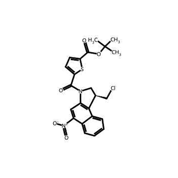 CC(C)(C)OC(=O)c1ccc(C(=O)N2C[C@@H](CCl)c3c2cc([N+](=O)[O-])c2ccccc32)s1